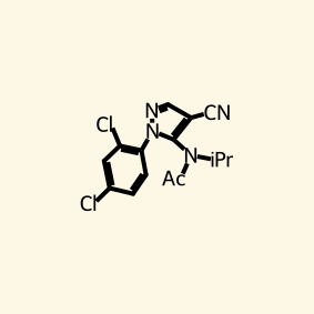 CC(=O)N(c1c(C#N)cnn1-c1ccc(Cl)cc1Cl)C(C)C